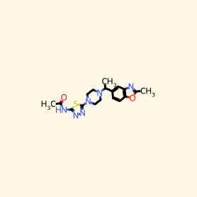 CC(=O)Nc1nnc(N2CCN(C(C)c3ccc4oc(C)nc4c3)CC2)s1